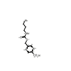 CC(C)CCCNC(=O)OCc1cnc(C(=O)O)cn1